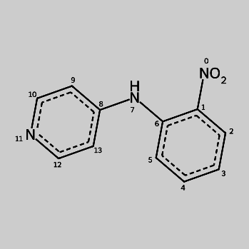 O=[N+]([O-])c1ccccc1Nc1ccncc1